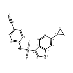 N#Cc1ccc(NS(=O)(=O)c2c[nH]c3cc(C4CC4)ccc23)cc1